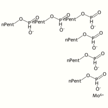 CCCCCO[PH](=O)[O-].CCCCCO[PH](=O)[O-].CCCCCO[PH](=O)[O-].CCCCCO[PH](=O)[O-].CCCCCO[PH](=O)[O-].CCCCCO[PH](=O)[O-].[Mo+6]